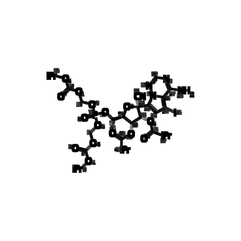 CC(C)OC(=O)OCOP(=O)(OCOC(=O)OC(C)C)OC[C@H]1O[C@@](C#N)(c2cc(I)c3c(N)ncnn23)[C@H](OC(=O)C(C)C)[C@@H]1OC(=O)C(C)C